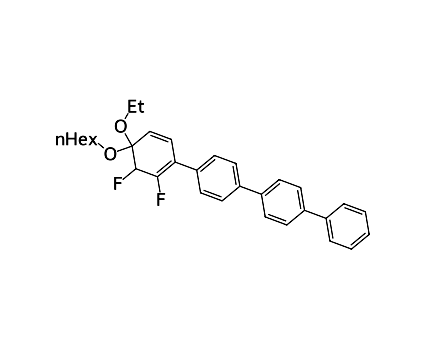 CCCCCCOC1(OCC)C=CC(c2ccc(-c3ccc(-c4ccccc4)cc3)cc2)=C(F)C1F